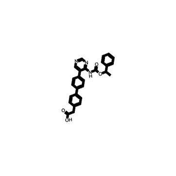 CC(OC(=O)Nc1ncncc1-c1ccc(-c2ccc(CC(=O)O)cc2)cc1)c1ccccc1